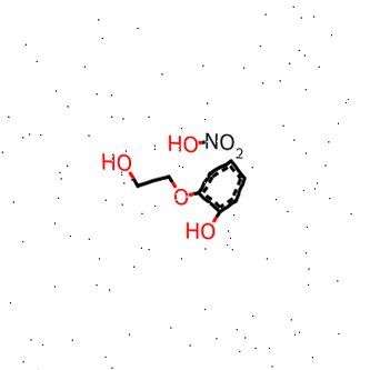 O=[N+]([O-])O.OCCOc1ccccc1O